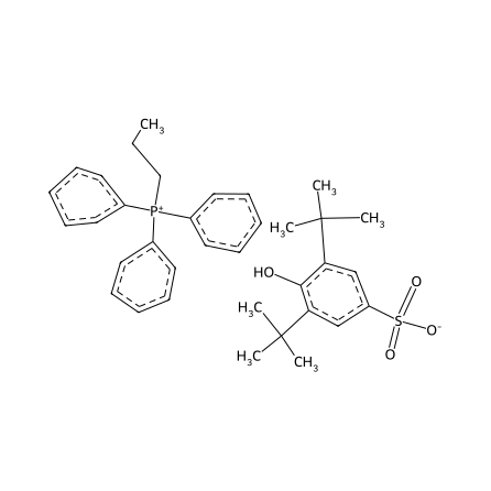 CC(C)(C)c1cc(S(=O)(=O)[O-])cc(C(C)(C)C)c1O.CCC[P+](c1ccccc1)(c1ccccc1)c1ccccc1